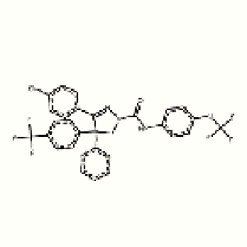 O=C(Nc1ccc(OC(F)(F)F)cc1)N1CC(c2ccccc2)(c2ccc(C(F)(F)F)cc2)C(c2ccc(Cl)cc2)=N1